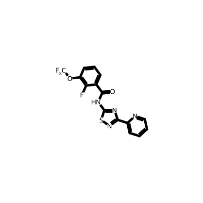 O=C(Nc1nc(-c2ccccn2)ns1)c1cccc(OC(F)(F)F)c1F